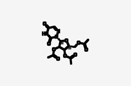 CC(=O)OC[C@H]1O[C@@H](n2ncc(=O)[nH]c2=O)C(OC(C)=O)C1OC(C)=O